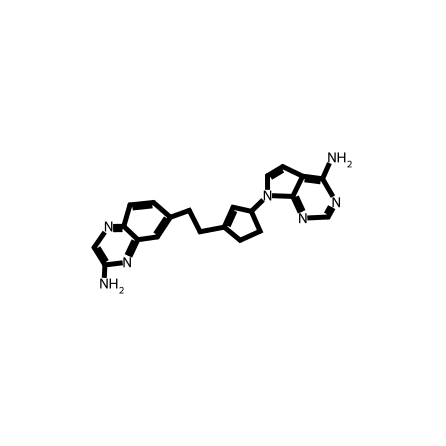 Nc1cnc2ccc(CCC3=CC(n4ccc5c(N)ncnc54)CC3)cc2n1